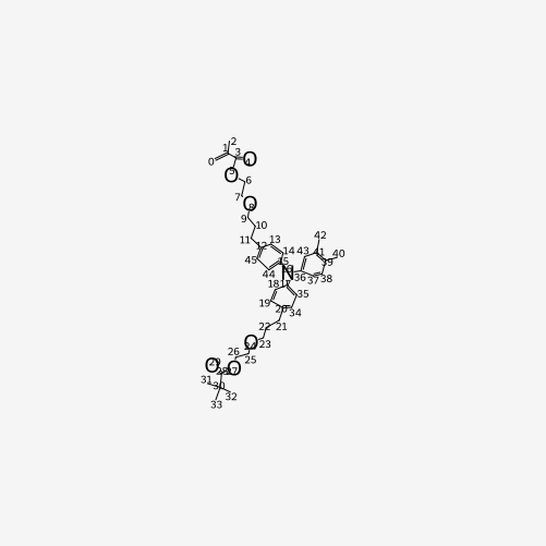 C=C(C)C(=O)OCCOCCCc1ccc(N(c2ccc(CCCOCCOC(=O)C(C)(C)C)cc2)c2ccc(C)c(C)c2)cc1